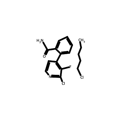 CCCCCCl.NC(=O)c1ccccc1-c1ccnc(Cl)c1F